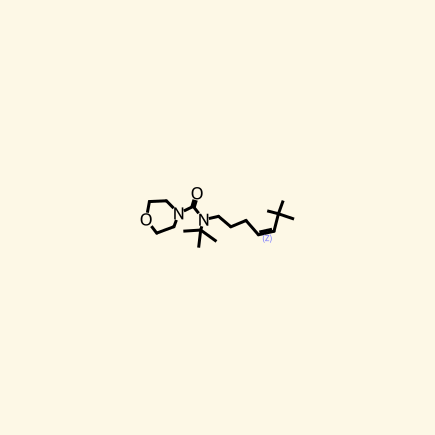 CC(C)(C)/C=C\CCCN(C(=O)N1CCOCC1)C(C)(C)C